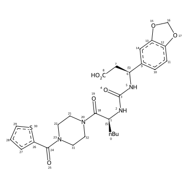 CCCC[C@H](NC(=O)N[C@@H](CC(=O)O)c1ccc2c(c1)OCO2)C(=O)N1CCN(C(=O)c2cccs2)CC1